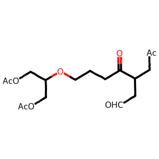 CC(=O)CC(CC=O)C(=O)CCCOC(COC(C)=O)COC(C)=O